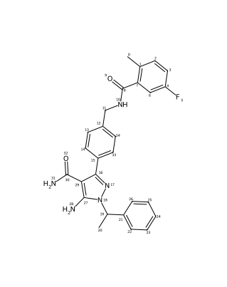 Cc1ccc(F)cc1C(=O)NCc1ccc(-c2nn(C(C)c3ccccc3)c(N)c2C(N)=O)cc1